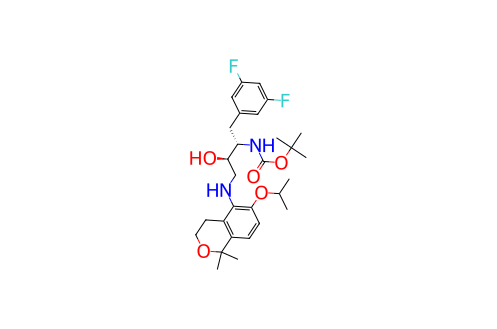 CC(C)Oc1ccc2c(c1NC[C@@H](O)[C@H](Cc1cc(F)cc(F)c1)NC(=O)OC(C)(C)C)CCOC2(C)C